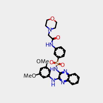 COc1cc(Nc2nc3ccccc3nc2NS(=O)(=O)c2cccc(NC(=O)CN3CCOCC3)c2)cc(OC)c1